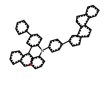 c1ccc(-c2ccc(N(c3ccccc3)c3ccc(-c4ccc5ccc6c7ccccc7ccc6c5c4)cc3)c(-c3cccc4ccccc34)c2)cc1